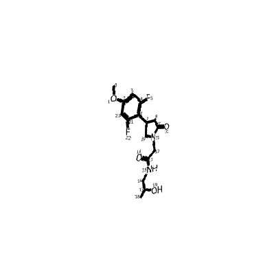 COc1cc(F)c(C2CC(=O)N(CC(=O)NCC(C)O)C2)c(F)c1